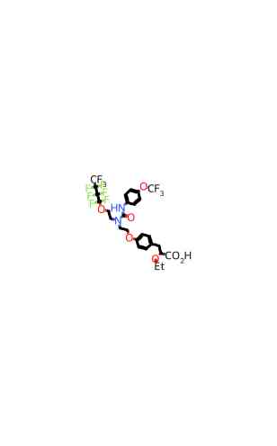 CCOC(Cc1ccc(OCCN(CCOC(F)(F)C(F)(F)C(F)(F)C(F)(F)F)C(=O)Nc2ccc(OC(F)(F)F)cc2)cc1)C(=O)O